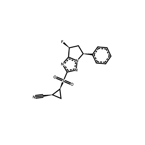 N#C[C@@H]1C[C@@H]1S(=O)(=O)c1nc2n(n1)[C@H](c1ccccc1)C[C@@H]2F